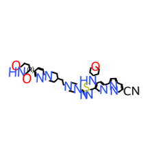 N#Cc1cnn2c(-c3cc(NC4CCOCC4)c(-c4nnc(N5CCN(CCC6CCN(c7ccc([C@H]8CCC(=O)NC8=O)cn7)CC6)CC5)s4)cn3)ccc2c1